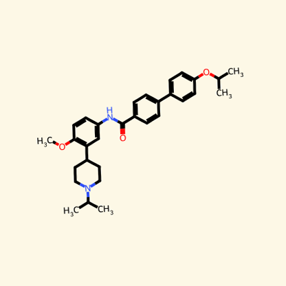 COc1ccc(NC(=O)c2ccc(-c3ccc(OC(C)C)cc3)cc2)cc1C1CCN(C(C)C)CC1